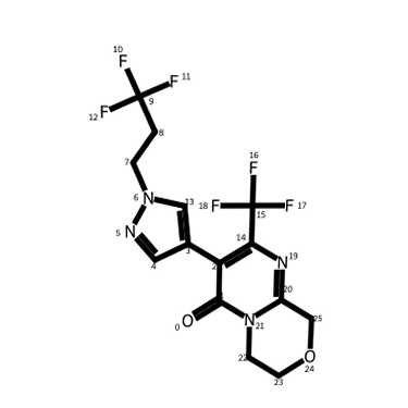 O=c1c(-c2cnn(CCC(F)(F)F)c2)c(C(F)(F)F)nc2n1CCOC2